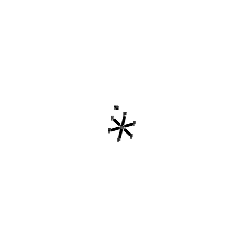 [F][Zr]([F])([F])([F])([F])[F].[N]